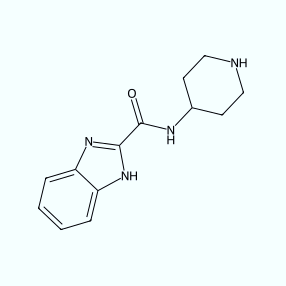 O=C(NC1CCNCC1)c1nc2ccccc2[nH]1